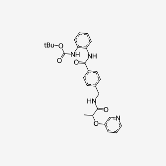 CC(Oc1cccnc1)C(=O)NCc1ccc(C(=O)Nc2ccccc2NC(=O)OC(C)(C)C)cc1